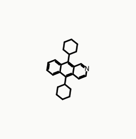 c1ccc2c(C3CCCCC3)c3cnccc3c(C3CCCCC3)c2c1